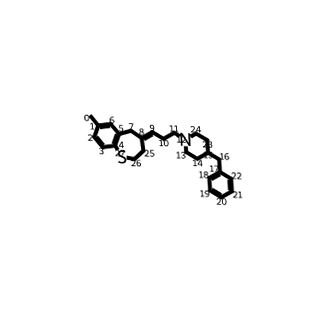 Cc1ccc2c(c1)C/C(=C/CCN1CCC(Cc3ccccc3)CC1)CCS2